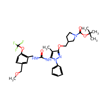 COCc1ccc(OC(F)(F)F)c(CNC(=O)Nc2c(C)c(OCC3CCN(C(=O)OC(C)(C)C)C3)nn2-c2ccccc2)c1